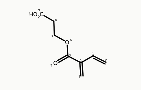 C=CC(=C)C(=O)OCCC(=O)O